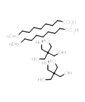 CCCCCCCCCCCCCCCCCC(=O)O.CCCCCCCCCCCCCCCCCC(=O)O.OCC(CO)(CO)CO.OCC(CO)(CO)CO